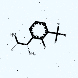 C[C@H](O)[C@@H](N)c1cccc(C(F)(F)F)c1F